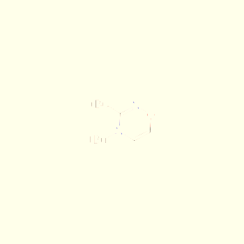 CC(C)(C)C1=NOC=CN1C(C)(C)C